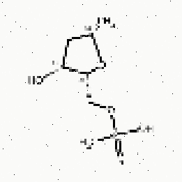 C[C@H]1C[C@@H](O)[C@@H](COP(C)(O)=S)O1